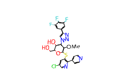 COC1C(Sc2cc(Cl)cnc2-c2ccncc2)OC(CO)C(O)C1n1cc(-c2cc(F)c(F)c(F)c2)nn1